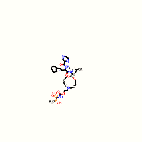 CC(C)C[C@@H](NC(=O)C(/C=C/c1ccccc1)NC(=O)c1cnccn1)B1OCCCCN(CCOC(=O)NC(P(C)O)[PH](=O)O)CCCCO1